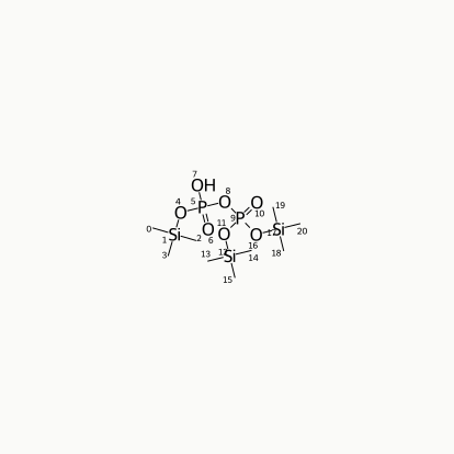 C[Si](C)(C)OP(=O)(O)OP(=O)(O[Si](C)(C)C)O[Si](C)(C)C